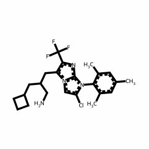 Cc1cc(C)c(-n2c(Cl)cn3c(CC(CN)CC4CCC4)c(C(F)(F)F)nc23)c(C)c1